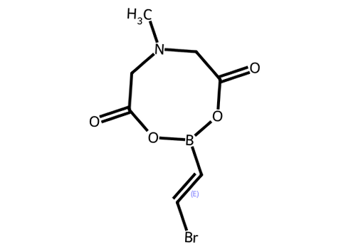 CN1CC(=O)OB(/C=C/Br)OC(=O)C1